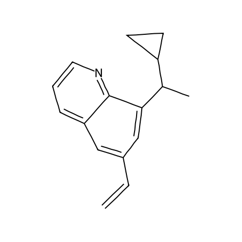 C=Cc1cc(C(C)C2CC2)c2ncccc2c1